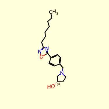 CCCCCCCc1noc(-c2ccc(CN3CC[C@H](O)C3)cc2)n1